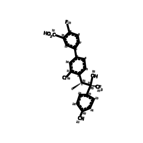 C[C@H](c1ccc(-c2ccc(F)c(C(=O)O)c2)cc1Cl)[C@@](O)(c1ccc(C#N)cc1)C(F)(F)F